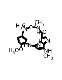 CNc1cc2nn3c(cnc13)C(=O)N[C@H](C)CN(C)Cc1ccc(OC)c(c1)N2